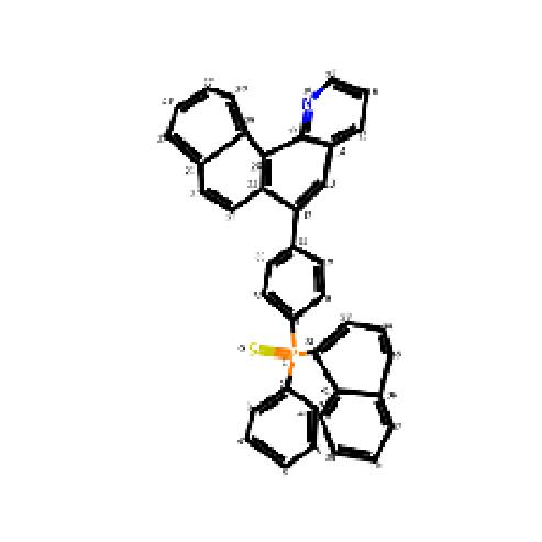 S=P(c1ccccc1)(c1ccc(-c2cc3cccnc3c3c2ccc2ccccc23)cc1)c1cccc2ccccc12